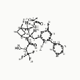 CS(=O)(=O)N[C@@H]1[C@H](Cc2cc(F)cc(-c3ccccc3)c2F)N(C(=O)[C@H](O)C(F)(F)F)C2CC1(F)C2